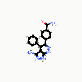 NC(=O)c1ccc(-c2nnc3[nH]nc(N)c3c2-c2ccccc2)cc1